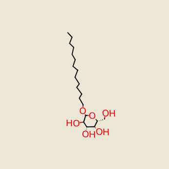 CCCCCCCCCCCCCCOC1O[C@H](CO)[C@H](O)[C@H](O)[C@H]1O